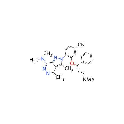 CNCCC(Oc1cc(C#N)ccc1-n1nc2c(N(C)C)nnc(C)c2c1C)c1ccccc1